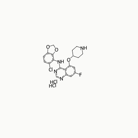 Cl.Cl.Fc1cc(OC2CCNCC2)c2c(Nc3c(Cl)ccc4c3OCO4)ncnc2c1